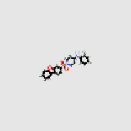 O=S(=O)(c1ccc2c(c1)oc1ccccc12)N1CCC(Nc2ccccc2Cl)CC1